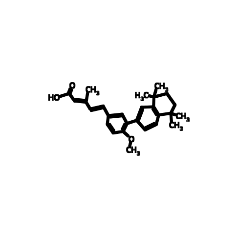 COc1ccc(/C=C/C(C)=C/C(=O)O)cc1-c1ccc2c(c1)C(C)(C)CCC2(C)C